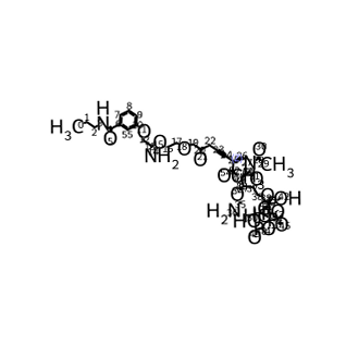 CCCNC(=O)c1cccc(OCC(N)OCCOCC(=O)CC#C/C(=C/N(C(C)=O)[C@H]2C[C@@H](OCN)C(COP(=O)(O)OP(=O)(O)O[PH](=O)O)O2)C(C)=O)c1